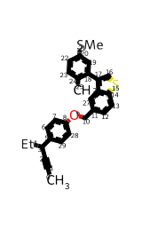 CC#CC(CC)c1ccc(OCc2ccc3scc(-c4cc(SC)ccc4C)c3c2)cc1